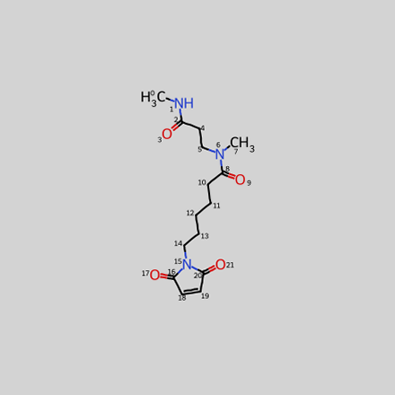 CNC(=O)CCN(C)C(=O)CCCCCN1C(=O)C=CC1=O